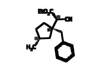 CCOC(=O)[C@@H](C#N)[C@]1(Cc2ccccc2)CC[C@@H](C)C1